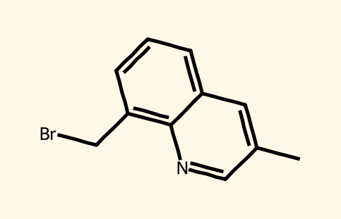 Cc1cnc2c(CBr)cccc2c1